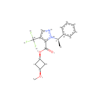 CO[C@H]1C[C@@H](OC(=O)c2c(C(F)(F)F)cnn2[C@H](C)c2ccccc2)C1